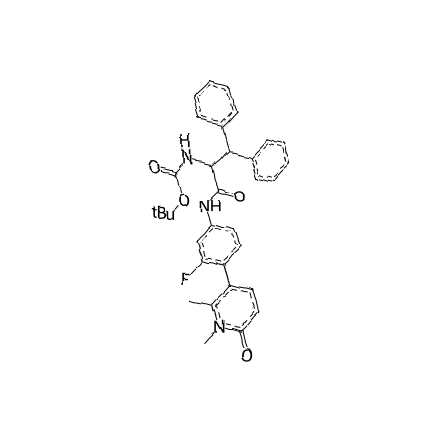 Cc1c(-c2ccc(NC(=O)C(NC(=O)OC(C)(C)C)C(c3ccccc3)c3ccccc3)cc2F)ccc(=O)n1C